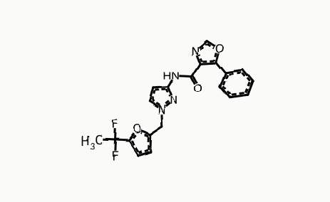 CC(F)(F)c1ccc(Cn2ccc(NC(=O)c3ncoc3-c3ccccc3)n2)o1